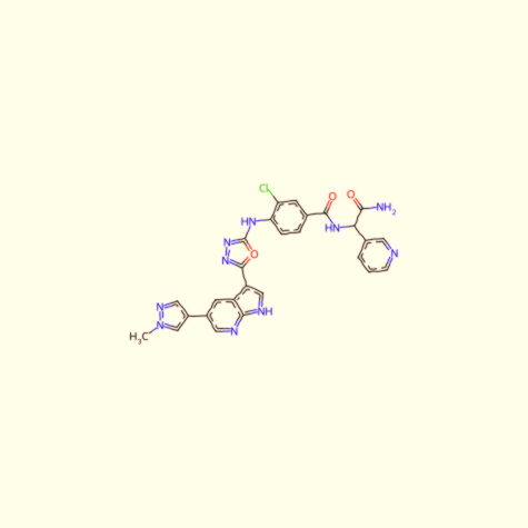 Cn1cc(-c2cnc3[nH]cc(-c4nnc(Nc5ccc(C(=O)NC(C(N)=O)c6cccnc6)cc5Cl)o4)c3c2)cn1